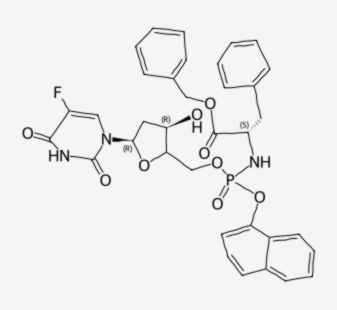 O=C(OCc1ccccc1)[C@H](Cc1ccccc1)NP(=O)(OCC1O[C@@H](n2cc(F)c(=O)[nH]c2=O)C[C@H]1O)Oc1cccc2ccccc12